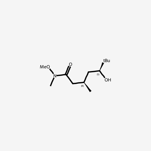 CON(C)C(=O)C[C@H](C)C[C@H](O)C(C)(C)C